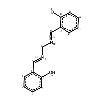 Oc1ccccc1/C=N/C/N=C/c1ccccc1O